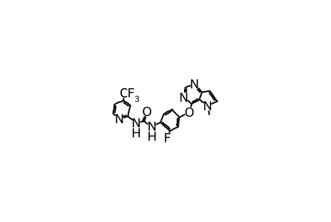 Cn1ccc2ncnc(Oc3ccc(NC(=O)Nc4cc(C(F)(F)F)ccn4)c(F)c3)c21